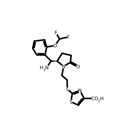 NC(c1ccccc1OC(F)F)[C@H]1CCC(=O)N1CCSc1nc(C(=O)O)cs1